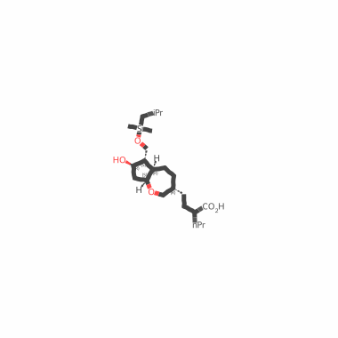 CCCC(CC[C@H]1CC[C@@H]2[C@@H](CO[Si](C)(C)CC(C)C)[C@H](O)C[C@@H]2OC1)C(=O)O